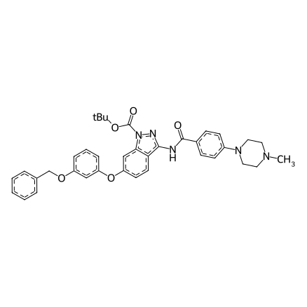 CN1CCN(c2ccc(C(=O)Nc3nn(C(=O)OC(C)(C)C)c4cc(Oc5cccc(OCc6ccccc6)c5)ccc34)cc2)CC1